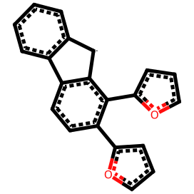 [CH]1c2ccccc2-c2ccc(-c3ccco3)c(-c3ccco3)c21